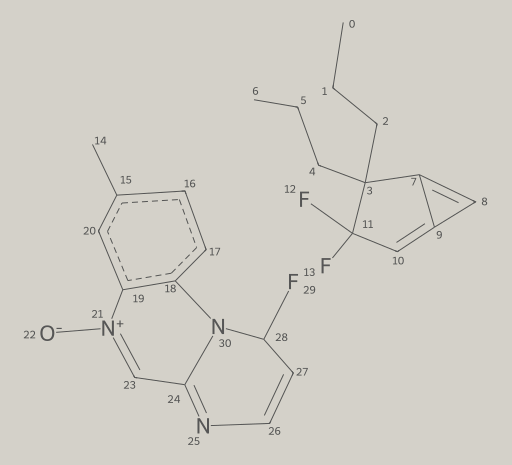 CCCC1(CCC)C2=CC2=CC1(F)F.Cc1ccc2c(c1)[N+]([O-])=CC1=NC=CC(F)N12